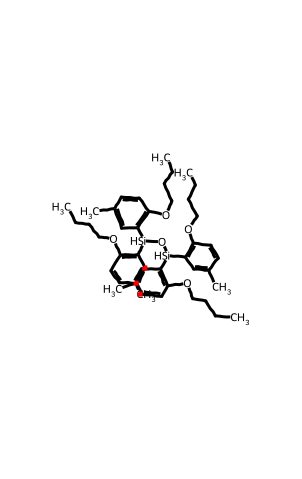 CCCCOc1ccc(C)cc1[SiH](O[SiH](c1cc(C)ccc1OCCCC)c1cc(C)ccc1OCCCC)c1cc(C)ccc1OCCCC